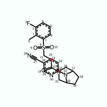 Cc1c(F)cccc1S(=O)(=O)CCC(=O)N1CC2CCC(C1)N2c1ccc(C#N)cn1